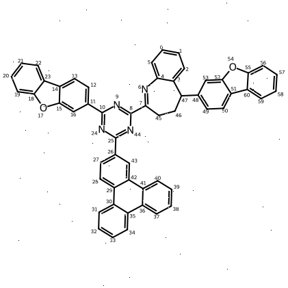 c1ccc2c(c1)N=C(c1nc(-c3ccc4c(c3)oc3ccccc34)nc(-c3ccc4c5ccccc5c5ccccc5c4c3)n1)CCC2c1ccc2c(c1)oc1ccccc12